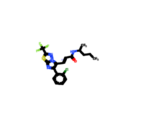 CCCC(C)NC(=O)/C=C/c1c(-c2ccccc2Cl)nc2sc(C(F)(F)F)nn12